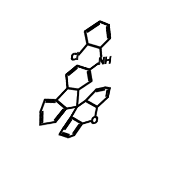 ClC1C=CC=CC1NC1=CC2C(C=C1)c1ccccc1C21c2ccccc2OC2C=CC=CC21